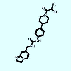 CCC(CC)C(=O)N1CCC(c2ccc(NC(=O)NCc3ccn4ccnc4c3)cc2)CC1